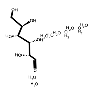 O.O.O.O.O.O.O.O.O.O=C[C@H](O)[C@@H](O)[C@H](O)[C@H](O)CO